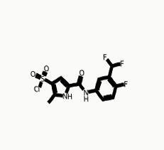 Cc1[nH]c(C(=O)Nc2ccc(F)c(C(F)F)c2)cc1S(=O)(=O)Cl